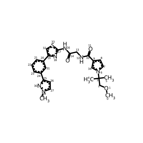 COCC(C)(C)n1ccc(C(=O)NCC(=O)Nc2nc(-c3cccc(-c4ccn(C)n4)c3)cs2)c1